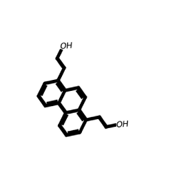 OCCc1cccc2c1ccc1c(CCO)cccc12